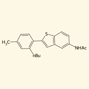 CCCCc1cc(C)ccc1-c1cc2cc(NC(C)=O)ccc2s1